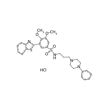 COc1cc(S(=O)(=O)NCCCN2CCN(c3ccccc3)CC2)cc(-c2nc3ccccc3s2)c1OC.Cl